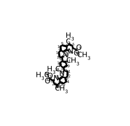 COC(=O)c1cc(C)c2ccc3ccc(-c4cc(C)c(-c5ccc6ccc7c(C)cc(C(=O)OC)nc7c6n5)cc4C)nc3c2n1